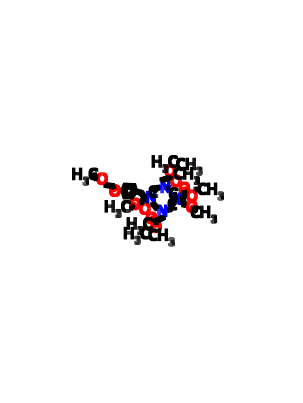 CCOCCOc1ccc(CC(C(=O)OCC)N2CCN(CC(=O)OC(C)(C)C)CCN(C(COC)C(=O)OCC)CCN(CC(=O)OC(C)(C)C)CC2)cc1